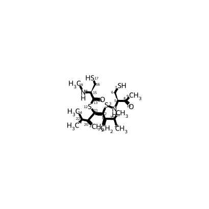 C=C(/C(SN[C@@H](CS)C(C)=O)=C(/SC(=O)[C@H](CS)NC)C(=C)C(C)C)C(C)C